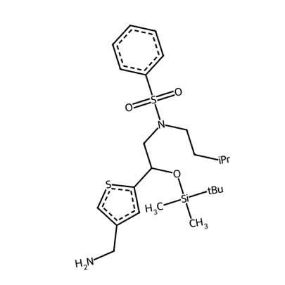 CC(C)CCN(CC(O[Si](C)(C)C(C)(C)C)c1cc(CN)cs1)S(=O)(=O)c1ccccc1